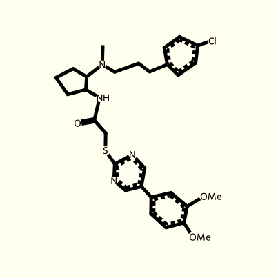 COc1ccc(-c2cnc(SCC(=O)NC3CCCC3N(C)CCCc3ccc(Cl)cc3)nc2)cc1OC